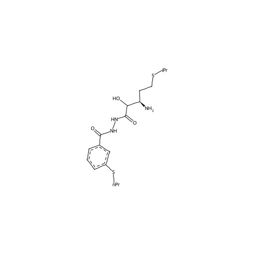 CCCSc1cccc(C(=O)NNC(=O)C(O)[C@H](N)CCSC(C)C)c1